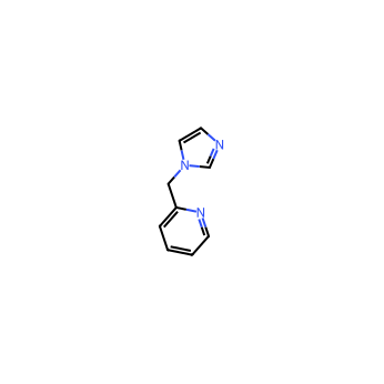 c1ccc(Cn2ccnc2)nc1